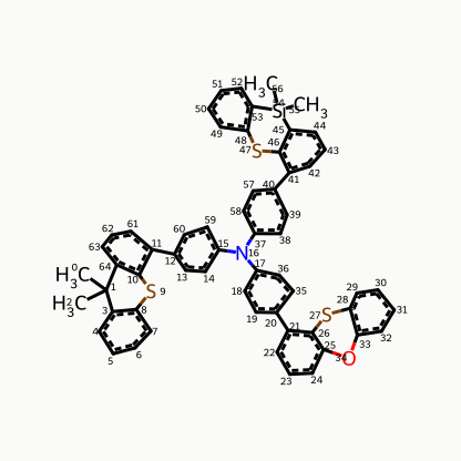 CC1(C)c2ccccc2Sc2c(-c3ccc(N(c4ccc(-c5cccc6c5Sc5ccccc5O6)cc4)c4ccc(-c5cccc6c5Sc5ccccc5[Si]6(C)C)cc4)cc3)cccc21